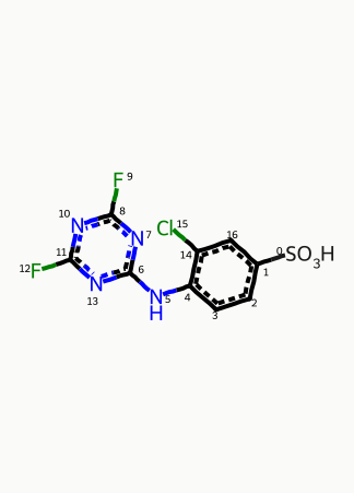 O=S(=O)(O)c1ccc(Nc2nc(F)nc(F)n2)c(Cl)c1